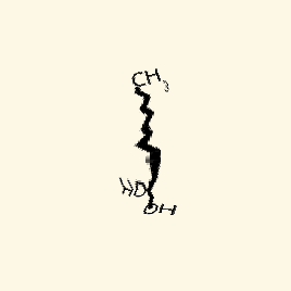 CCCCCC/C=C/CCCC(O)CCO